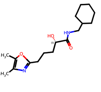 Cc1nc(CCC[C@H](O)C(=O)NCC2CCCCC2)oc1C